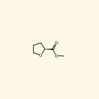 [CH2]OC(=O)[C@@H]1CCCO1